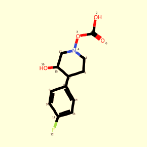 O=C(O)ON1CCC(c2ccc(F)cc2)C(O)C1